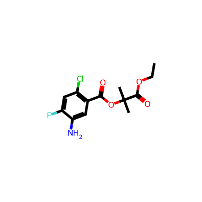 CCOC(=O)C(C)(C)OC(=O)c1cc(N)c(F)cc1Cl